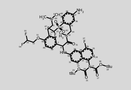 CN(C)CCc1cc(C(Nc2ccc3c(N(C(=O)OC(C)(C)C)C(=O)OC(C)(C)C)ncc(F)c3c2)C(=O)N(C)Cc2cc(N)ccc2S(=O)(=O)C(F)F)ccc1OCC(F)F